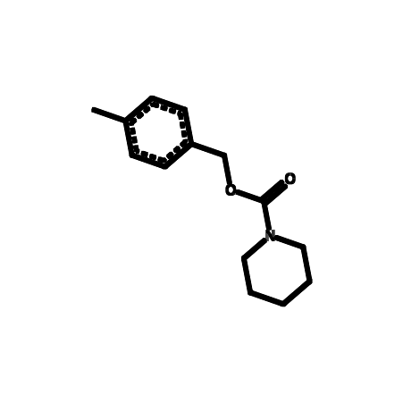 Cc1ccc(COC(=O)N2CCCCC2)cc1